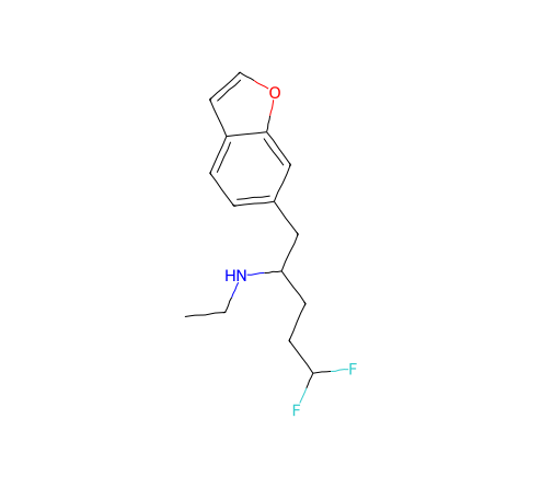 CCNC(CCC(F)F)Cc1ccc2ccoc2c1